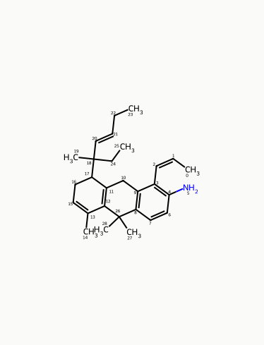 C/C=C\c1c(N)ccc2c1CC1=C(C(C)=CCC1C(C)(C=CCC)CC)C2(C)C